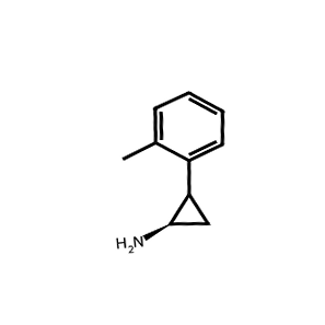 Cc1ccccc1C1C[C@H]1N